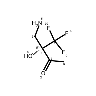 CC(=O)[C@@](O)(CN)C(F)(F)F